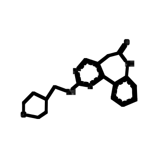 O=C1Cc2cnc(NCC3CCOCC3)nc2-c2ccccc2N1